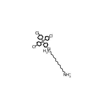 CCCCCCCCCCCCCC[NH3+].Clc1ccc([B-](c2ccc(Cl)cc2)(c2ccc(Cl)cc2)c2ccc(Cl)cc2)cc1